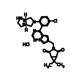 CC1(C)C2C(=O)N(Cc3cc4c(-c5cc(Cl)ccc5N5C[C@H]6CCN[C@H]6C5)ncnn4c3)C(=O)C21.Cl